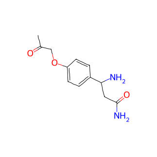 CC(=O)COc1ccc(C(N)CC(N)=O)cc1